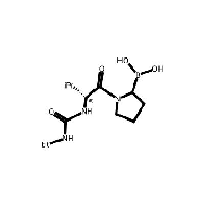 CCNC(=O)N[C@@H](C(=O)N1CCCC1B(O)O)C(C)C